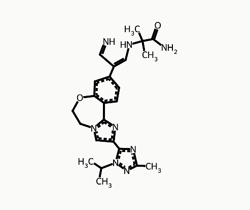 Cc1nc(-c2cn3c(n2)-c2ccc(/C(C=N)=C/NC(C)(C)C(N)=O)cc2OCC3)n(C(C)C)n1